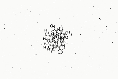 CC[C@H](C)C([C@H]1CC(N2CCC[C@H]2[C@H](OC)[C@@H](C)C(=O)NCCc2cc3ccccc3cn2)=C(N=O)O1)N(C)C(=O)[C@@H](NC(=O)[C@@H](NC)C(C)C)C(C)C